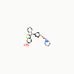 OC1=CC2SC3=C(C(c4ccc(OCCN5CCCCC5)cc4)=C4C=CC=CC43)C2C=C1